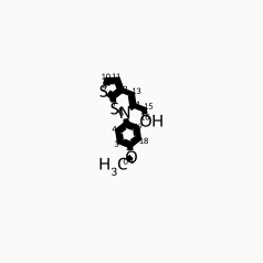 COc1ccc(N2Sc3sccc3C=C2CO)cc1